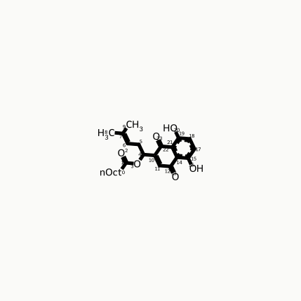 CCCCCCCCC(=O)OC(CC=C(C)C)C1=CC(=O)c2c(O)ccc(O)c2C1=O